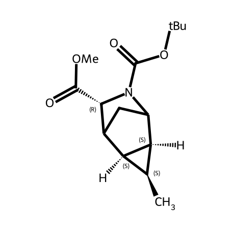 COC(=O)[C@H]1C2CC([C@H]3[C@@H](C)[C@@H]23)N1C(=O)OC(C)(C)C